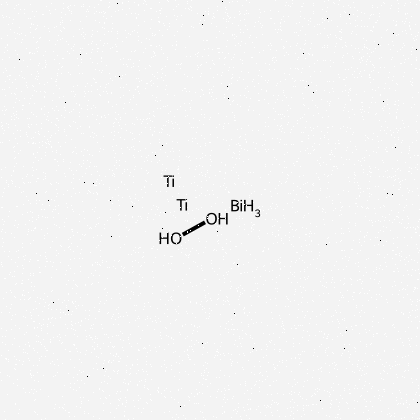 OO.[BiH3].[Ti].[Ti]